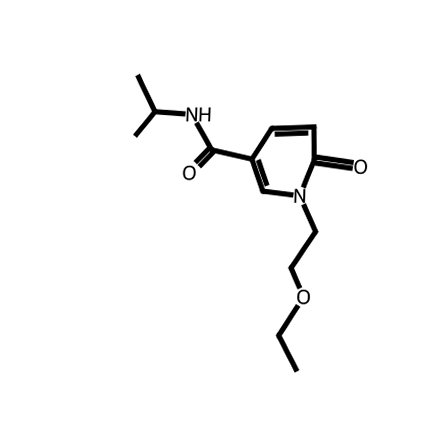 CCOCCn1cc(C(=O)NC(C)C)ccc1=O